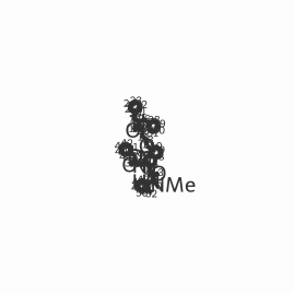 CNN(C(=O)CN1Cc2cccc(OCCCC(=O)N(Cc3ccccc3)Cc3ccccc3)c2N=C1NC(=O)Oc1ccccc1)c1ccccc1C